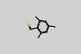 Cc1cc(C)c(C=S)c(C)c1